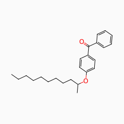 CCCCCCCCCC(C)Oc1ccc(C(=O)c2ccccc2)cc1